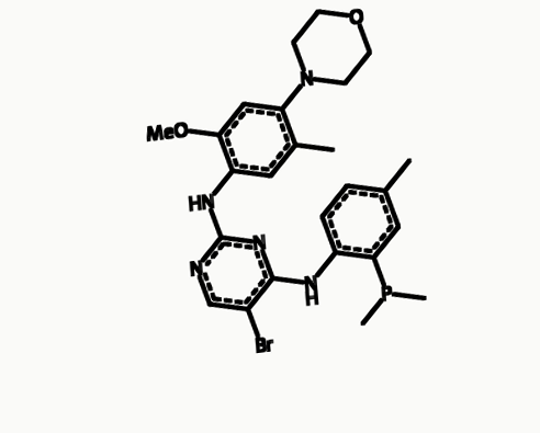 COc1cc(N2CCOCC2)c(C)cc1Nc1ncc(Br)c(Nc2ccc(C)cc2P(C)C)n1